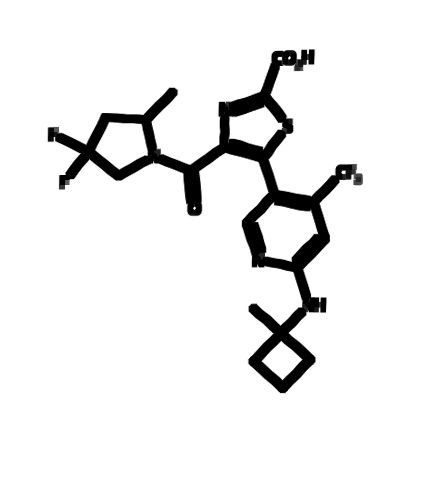 CC1CC(F)(F)CN1C(=O)c1nc(C(=O)O)sc1-c1cnc(NC2(C)CCC2)cc1C(F)(F)F